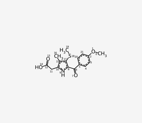 COc1ccc(C(=O)c2[nH]c(CC(=O)O)c(C)c2SC)cc1